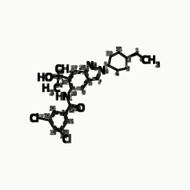 CC[C@H]1CC[C@H](n2cc3cc(NC(=O)c4cc(Cl)cc(Cl)c4)c(C(C)(C)O)cc3n2)CC1